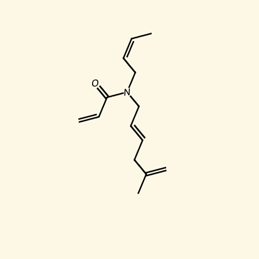 C=CC(=O)N(C/C=C\C)C/C=C/CC(=C)C